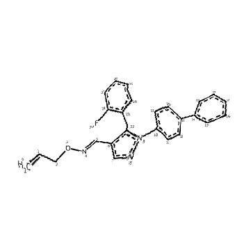 C=CCON=Cc1cnn(-c2ccc(-c3ccccc3)cc2)c1-c1ccccc1F